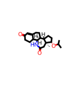 CC(C)O[C@H]1CC[C@H]2[C@@H]3CCC4=CC(=O)CC[C@]4(C)[C@H]3NC(=O)C[C@]12C